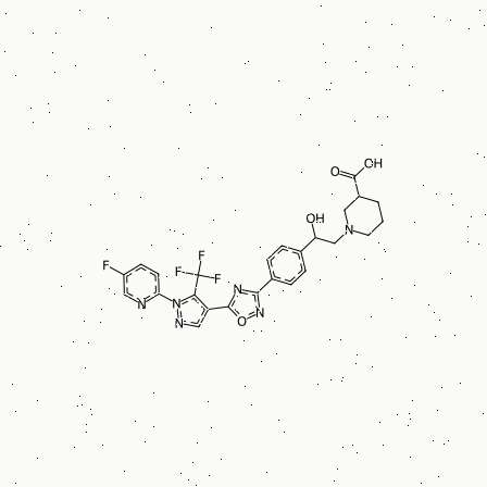 O=C(O)C1CCCN(CC(O)c2ccc(-c3noc(-c4cnn(-c5ccc(F)cn5)c4C(F)(F)F)n3)cc2)C1